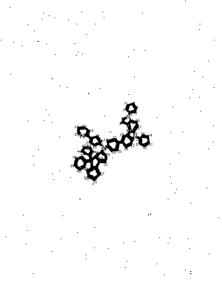 c1ccc(-n2ccc3c4c5cc(-c6ccc(N(c7ccc(-c8ccccn8)cc7)c7ccc8c(c7)C(c7ccccc7)(c7ccccc7)c7ccccc7-8)cc6)ccc5n(-c5ccccc5)c4ccc32)cc1